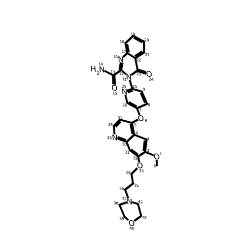 COc1cc2c(Oc3ccc(-n4c(C(N)=O)nc5ccccc5c4=O)nc3)ccnc2cc1OCCCN1CCOCC1